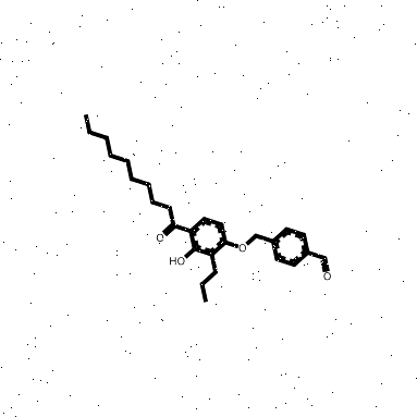 CCCCCCCCCC(=O)c1ccc(OCc2ccc(C=O)cc2)c(CCC)c1O